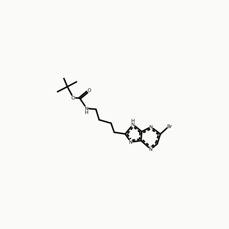 CC(C)(C)OC(=O)NCCCCc1nc2ncc(Br)nc2[nH]1